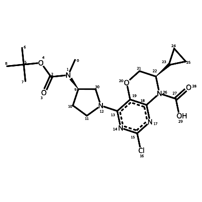 CN(C(=O)OC(C)(C)C)[C@@H]1CCN(c2nc(Cl)nc3c2OC[C@@H](C2CC2)N3C(=O)O)C1